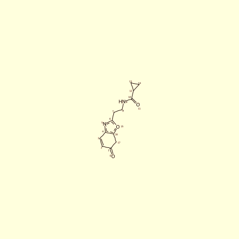 O=C1C=Cc2nc(CCNC(=O)C3CC3)oc2C1